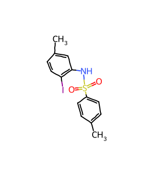 Cc1ccc(S(=O)(=O)Nc2cc(C)ccc2I)cc1